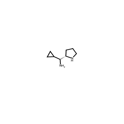 NC(C1CC1)[C@@H]1CCCN1